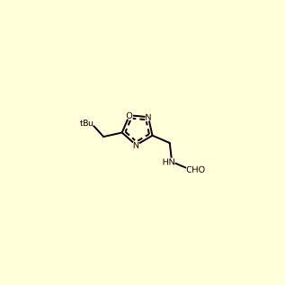 CC(C)(C)Cc1nc(CNC=O)no1